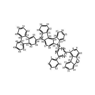 c1ccc(-c2nc(-c3cccc4oc5ccccc5c34)nc(-n3c4ccccc4c4c5c6ccccc6n(-c6ccc7c8ccccc8c8ccccc8c7c6)c5ccc43)n2)cc1